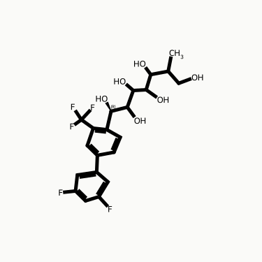 CC(CO)C(O)C(O)C(O)C(O)[C@H](O)c1ccc(-c2cc(F)cc(F)c2)cc1C(F)(F)F